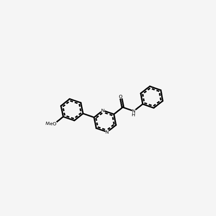 COc1cccc(-c2cncc(C(=O)Nc3ccccc3)n2)c1